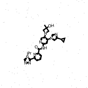 CC(C)n1cnnc1-c1cccc(C(=O)Nc2cc(-n3cnc(C4CC4)c3)c(N3CC(C)(O)C3)cn2)n1